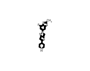 Cc1nc2c(F)cc(-n3cc4sc(C5CCNCC5)cc4n3)cc2s1